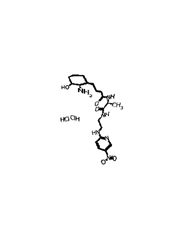 C[C@H](NC(=O)CCCC1CCCC(O)[C@@H]1N)C(=O)NCCNc1ccc([N+](=O)[O-])cn1.Cl.Cl